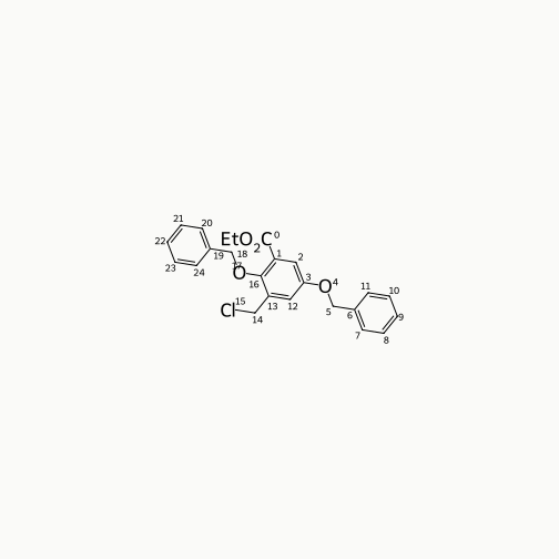 CCOC(=O)c1cc(OCc2ccccc2)cc(CCl)c1OCc1ccccc1